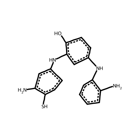 Nc1cc(Nc2cc(Nc3ccccc3N)ccc2O)ccc1S